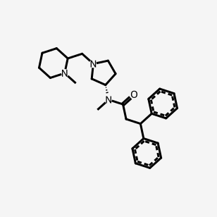 CN1CCCCC1CN1CC[C@H](N(C)C(=O)CC(c2ccccc2)c2ccccc2)C1